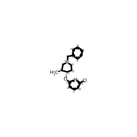 C[C@H]1CN(Cc2ccccc2)CC[C@@H]1Oc1cccc(Cl)n1